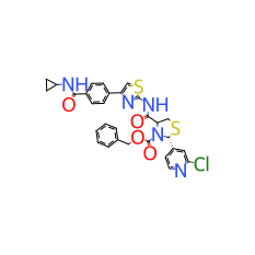 O=C(NC1CC1)c1ccc(-c2csc(NC(=O)C3CS[C@H](c4ccnc(Cl)c4)N3C(=O)OCc3ccccc3)n2)cc1